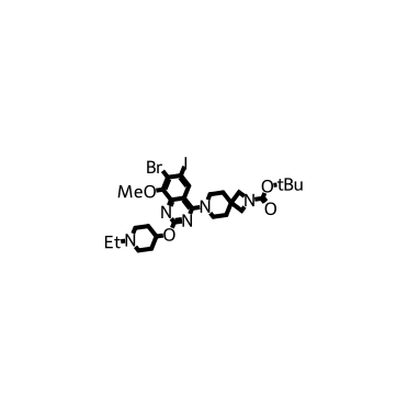 CCN1CCC(Oc2nc(N3CCC4(CC3)CN(C(=O)OC(C)(C)C)C4)c3cc(I)c(Br)c(OC)c3n2)CC1